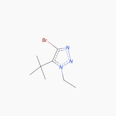 CCn1nnc(Br)c1C(C)(C)C